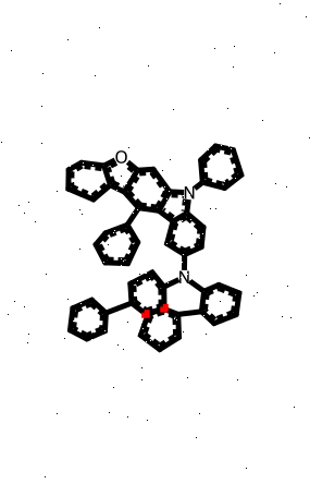 c1ccc(-c2ccc(N(c3ccc4c(c3)c3c(-c5ccccc5)c5c(cc3n4-c3ccccc3)oc3ccccc35)c3ccccc3-c3ccccc3)cc2)cc1